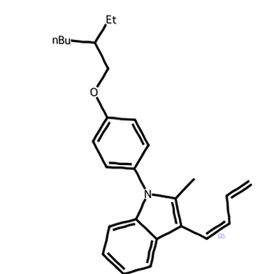 C=C/C=C\c1c(C)n(-c2ccc(OCC(CC)CCCC)cc2)c2ccccc12